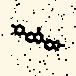 Cc1nc2ccc(-c3cc(=O)n4cc(N5CCN(C)[C@@H](C)C5)ccc4n3)cc2o1